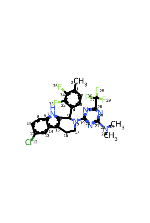 Cc1ccc(C2c3[nH]c4ccc(Cl)cc4c3CCN2c2nc(N(C)C)nc(C(F)(F)F)n2)c(F)c1F